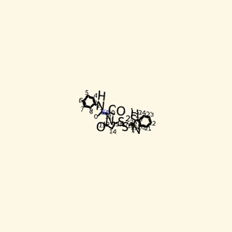 C/C(Nc1ccccc1)=C(/C(=O)O)N1C(=O)CC1SSc1nc2ccccc2s1